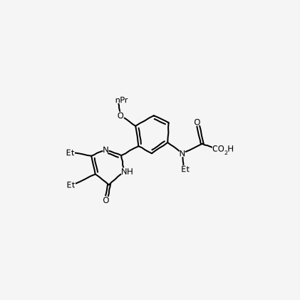 CCCOc1ccc(N(CC)C(=O)C(=O)O)cc1-c1nc(CC)c(CC)c(=O)[nH]1